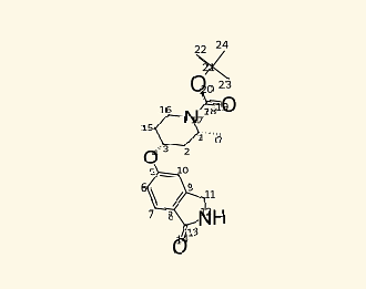 C[C@@H]1C[C@H](Oc2ccc3c(c2)CNC3=O)CCN1C(=O)OC(C)(C)C